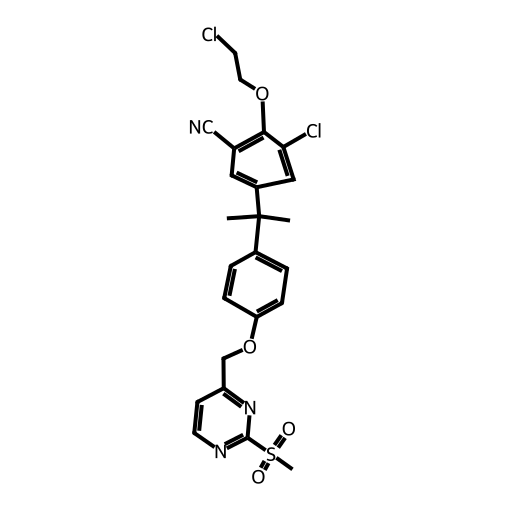 CC(C)(c1ccc(OCc2ccnc(S(C)(=O)=O)n2)cc1)c1cc(Cl)c(OCCCl)c(C#N)c1